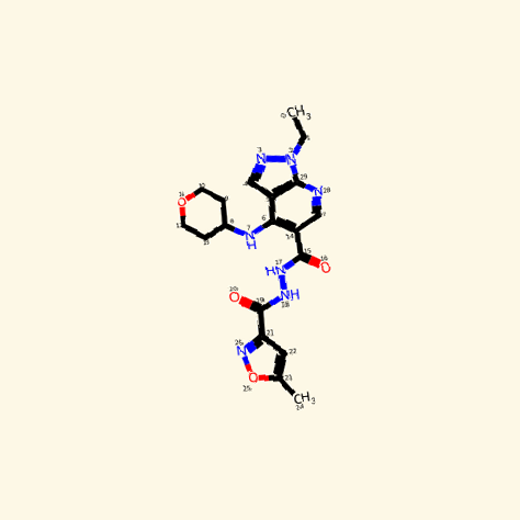 CCn1ncc2c(NC3CCOCC3)c(C(=O)NNC(=O)c3cc(C)on3)cnc21